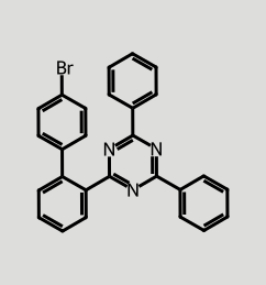 Brc1ccc(-c2ccccc2-c2nc(-c3ccccc3)nc(-c3ccccc3)n2)cc1